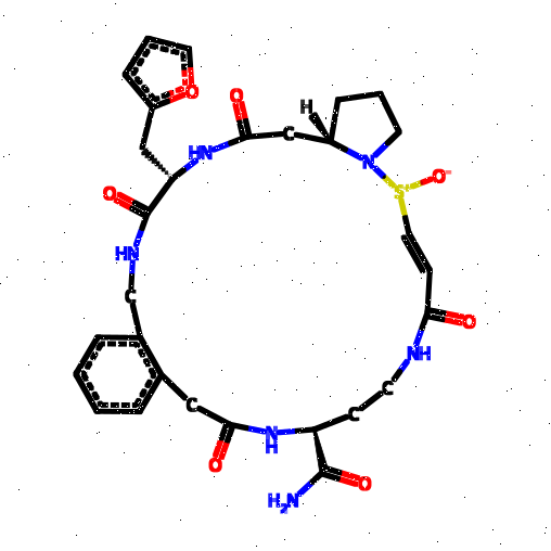 NC(=O)[C@@H]1CCNC(=O)/C=C/[S+]([O-])N2CCC[C@H]2CC(=O)N[C@@H](Cc2ccco2)C(=O)NCc2ccccc2CC(=O)N1